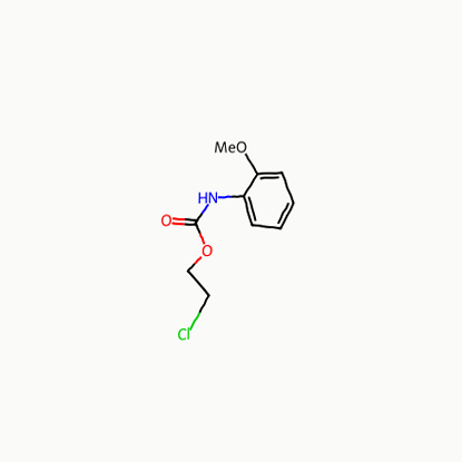 COc1ccccc1NC(=O)OCCCl